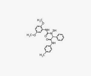 COc1ccc(OC)c(NC(=O)N(S)C(C(=O)Nc2ccc(C)cc2)c2ccccc2)c1